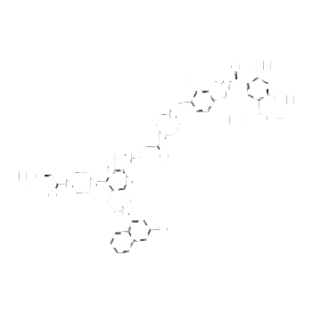 C=CC(=O)N1CCN(c2nc(NCCC(=O)N3CCN(Cc4ccc5c(c4F)CN(C(=O)c4cc(C(C)C)c(O)cc4O)C5)CC3)nc3c2CCN(c2cc(O)cc4ccccc24)C3)CC1